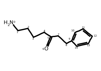 NCCCCC(=O)CCc1ccccc1